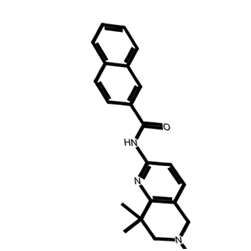 CN1Cc2ccc(NC(=O)c3ccc4ccccc4c3)nc2C(C)(C)C1